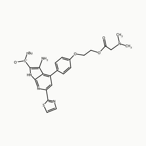 CCCC[S+]([O-])c1[nH]c2nc(-c3nccs3)cc(-c3ccc(OCCOC(=O)CN(C)C)cc3)c2c1N